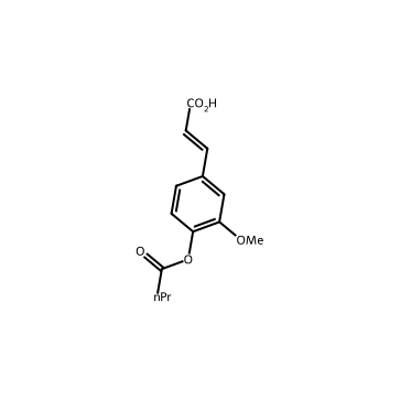 CCCC(=O)Oc1ccc(/C=C/C(=O)O)cc1OC